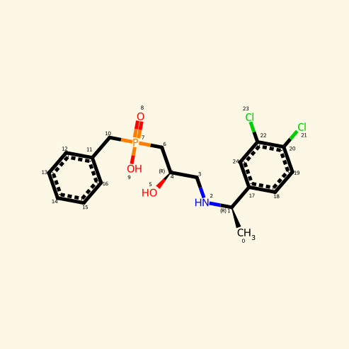 C[C@@H](NC[C@@H](O)CP(=O)(O)Cc1ccccc1)c1ccc(Cl)c(Cl)c1